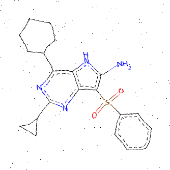 Nc1[nH]c2c(C3CCCCC3)nc(C3CC3)nc2c1S(=O)(=O)c1ccccc1